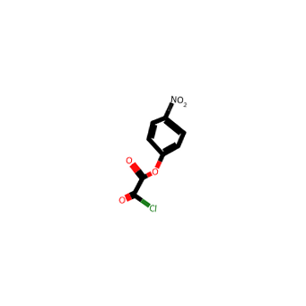 O=C(Cl)C(=O)Oc1ccc([N+](=O)[O-])cc1